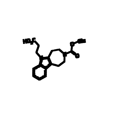 CC(C)(C)OC(=O)N1CCc2c(n(CCC(=O)O)c3ccccc23)CC1